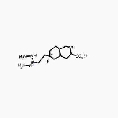 CCOC(=O)C1CC2C[C@@](F)(CC/C(=N/N)NN)CCC2CN1